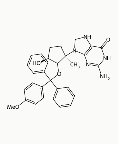 COc1ccc(C(OC2[C@@H](O)CC[C@@]2(C)N2CNc3c2nc(N)[nH]c3=O)(c2ccccc2)c2ccccc2)cc1